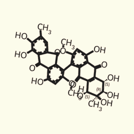 COc1cc(O)c2c(c1-c1c(OC)cc(O)c3c1C(=O)c1cc(C)c(O)c(O)c1C3=O)C(=O)C1=C(C2=O)[C@H](O)[C@@H](O)[C@@](C)(O)[C@H]1O